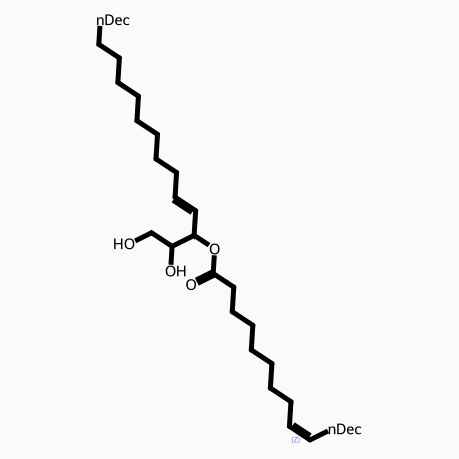 CCCCCCCCCC/C=C\CCCCCCCC(=O)O[C](C=CCCCCCCCCCCCCCCCCCC)C(O)CO